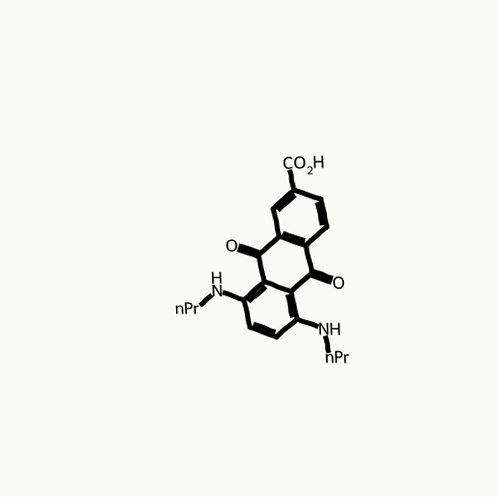 CCCNc1ccc(NCCC)c2c1C(=O)c1ccc(C(=O)O)cc1C2=O